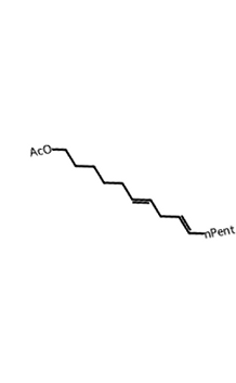 CCCCCC=CCC=CCCCCCOC(C)=O